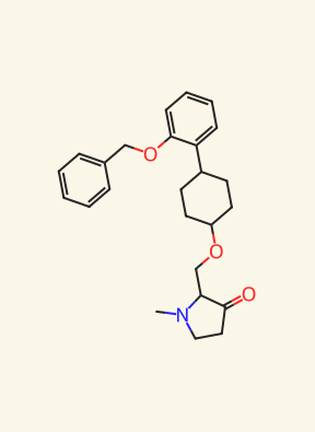 CN1CCC(=O)C1COC1CCC(c2ccccc2OCc2ccccc2)CC1